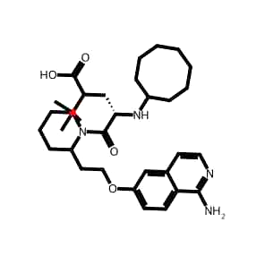 CC(C)(C)C(C[C@H](NC1CCCCCCC1)C(=O)N1CCCCC1CCOc1ccc2c(N)nccc2c1)C(=O)O